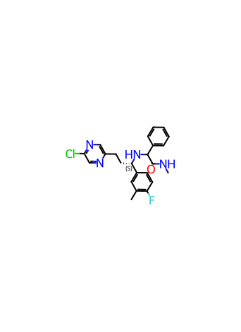 CNC(=O)C(N[C@@H](CCc1cnc(Cl)cn1)c1ccc(F)c(C)c1)c1ccccc1